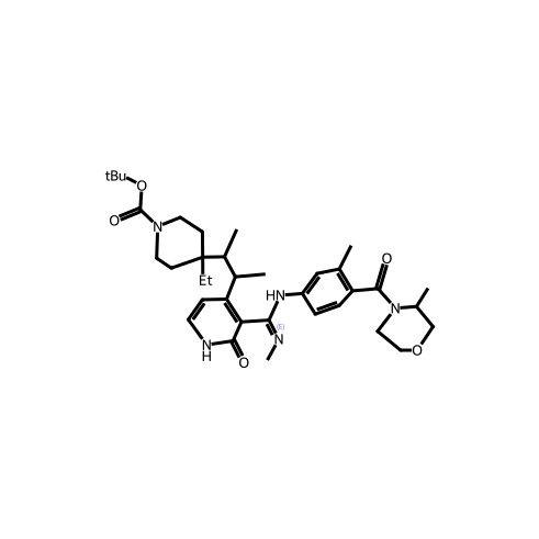 CCC1(C(C)C(C)c2cc[nH]c(=O)c2/C(=N\C)Nc2ccc(C(=O)N3CCOCC3C)c(C)c2)CCN(C(=O)OC(C)(C)C)CC1